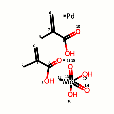 C=C(C)C(=O)O.C=C(C)C(=O)O.[CH3][Mo](=[O])(=[O])([OH])[OH].[Pd]